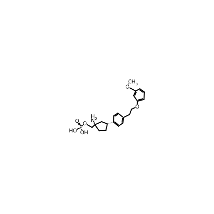 COc1cccc(OCCc2ccc([C@@H]3CC[C@](N)(COP(=O)(O)O)C3)cc2)c1